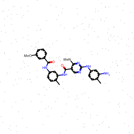 CNc1nc(Nc2ccc(C)c(N)c2)ncc1C(=O)Nc1cc(NC(=O)c2cccc(OC)c2)ccc1C